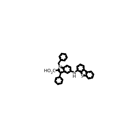 O=C(O)c1c(-c2ccccc2)c2cc(Nc3cccc4c3sc3ccccc34)ccc2n1Cc1ccccc1